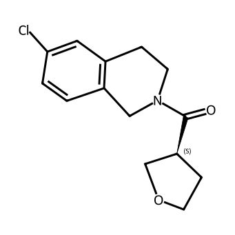 O=C([C@H]1CCOC1)N1CCc2cc(Cl)ccc2C1